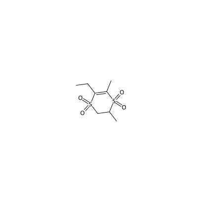 CCC1=C(C)S(=O)(=O)C(C)CS1(=O)=O